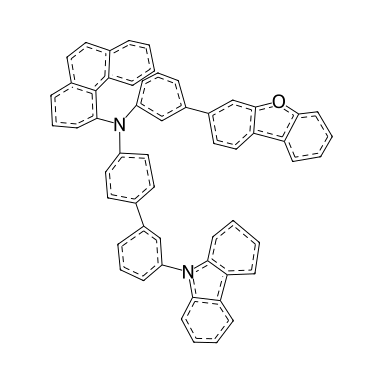 c1cc(-c2ccc3c(c2)oc2ccccc23)cc(N(c2ccc(-c3cccc(-n4c5ccccc5c5ccccc54)c3)cc2)c2cccc3ccc4ccccc4c23)c1